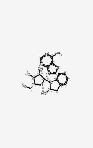 Nc1ncnc2c1ncn2[C@]1([C@H]2c3ccccc3C[C@H]2O)O[C@H](CO)[C@@H](O)[C@H]1O